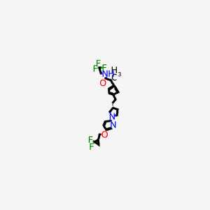 CC(C(=O)NCC(F)(F)F)c1ccc(CC[C@@H]2CCN(c3ccc(OCC4CC4(F)F)cn3)C2)cc1